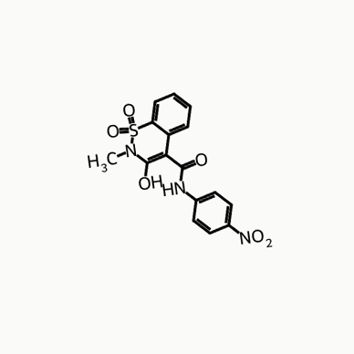 CN1C(O)=C(C(=O)Nc2ccc([N+](=O)[O-])cc2)c2ccccc2S1(=O)=O